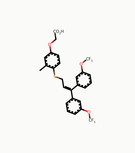 Cc1cc(OCC(=O)O)ccc1SCC=C(c1cccc(OC(F)(F)F)c1)c1cccc(OC(F)(F)F)c1